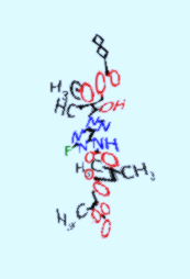 C#CC(COC(=O)C1CC2(CCC2)C1)(OC)[C@@H](O)Cn1cnc2c(NC(=O)OC(C)(C)CC(=O)OCc3oc(=O)oc3C)nc(F)nc21